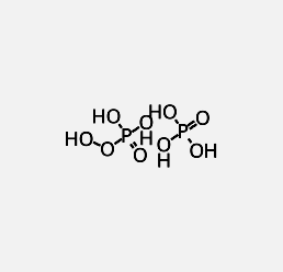 O=P(O)(O)O.O=P(O)(O)OO